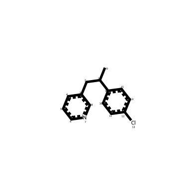 [CH2]C(Cc1cccnc1)c1ccc(Cl)cc1